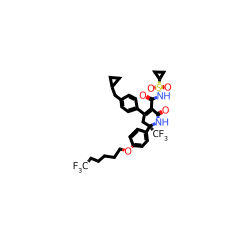 O=C1NC(c2ccc(OCCCCCC(F)(F)F)cc2)(C(F)(F)F)CC(c2ccc(CC3CC3)cc2)=C1C(=O)NS(=O)(=O)C1CC1